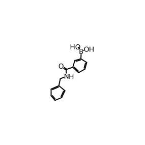 O=C(NCc1ccccc1)c1cccc(B(O)O)c1